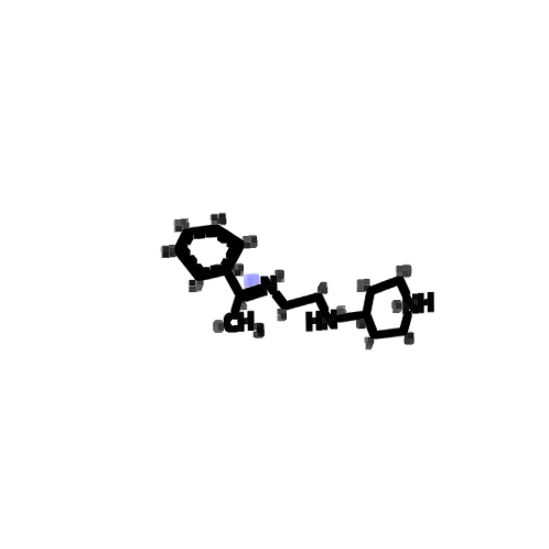 C/C(=N\CCNC1CCNCC1)c1ccccc1